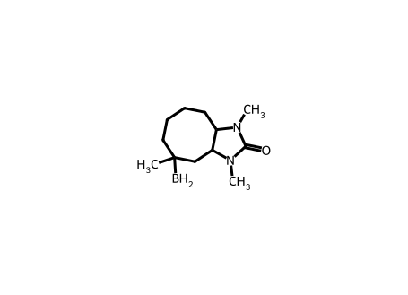 BC1(C)CCCCC2C(C1)N(C)C(=O)N2C